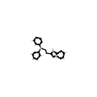 c1ccc(P(CCc2cn3ccccc3n2)c2ccccc2)cc1